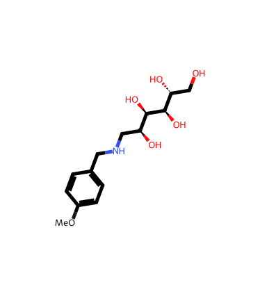 COc1ccc(CNC[C@H](O)[C@@H](O)[C@H](O)[C@H](O)CO)cc1